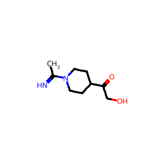 CC(=N)N1CCC(C(=O)CO)CC1